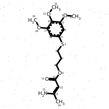 COc1cc(SCCCOC(=O)/C=C(/C)N)cc(OC)c1OC